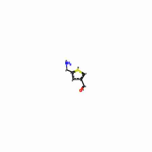 NCc1cc(C=O)cs1